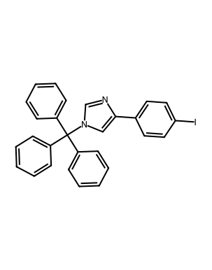 Ic1ccc(-c2cn(C(c3ccccc3)(c3ccccc3)c3ccccc3)cn2)cc1